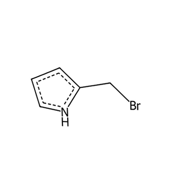 BrCc1ccc[nH]1